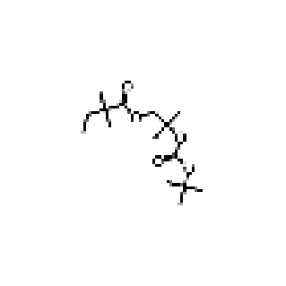 CCC(C)(C)C(=O)OCC(C)(C)OC(=O)OC(C)(C)C